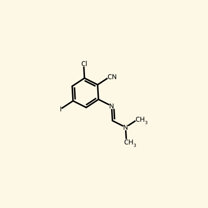 CN(C)C=Nc1cc(I)cc(Cl)c1C#N